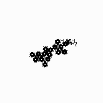 C[Si](C)(C)c1ccc(-c2cc3c4c(c2)N(c2ccccc2)c2ccc(-c5ccc([Si](c6ccccc6)(c6ccccc6)c6ccc(N7c8cc(N(c9ccccc9)c9ccccc9)ccc8B8c9ccccc9N(c9ccccc9)c9cccc7c98)cc6)cc5)cc2B4c2ccccc2N3c2ccccc2)cc1